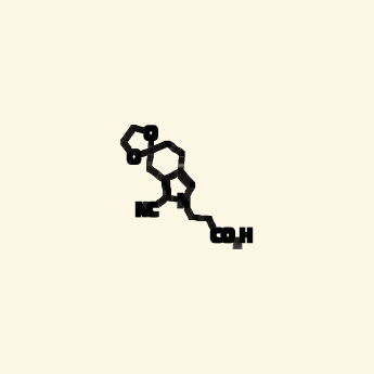 N#Cc1c2c(cn1CCC(=O)O)CCC1(C2)OCCO1